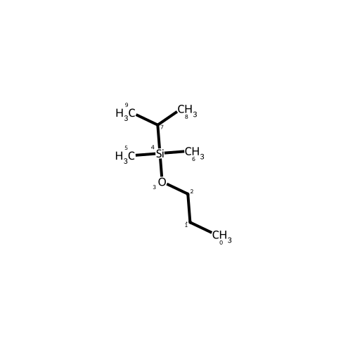 C[CH]CO[Si](C)(C)C(C)C